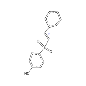 N#Cc1ccc(S(=O)(=O)/C=C/c2ccccc2)cc1